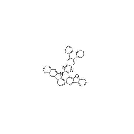 c1ccc(-c2cc3nc(-c4cccc5c4oc4ccccc45)c(-n4c5ccccc5c5cc6ccccc6cc54)nc3cc2-c2ccccc2)cc1